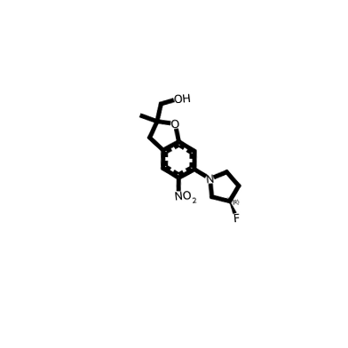 CC1(CO)Cc2cc([N+](=O)[O-])c(N3CC[C@@H](F)C3)cc2O1